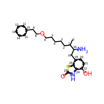 CC(CCCCCOCCc1ccccc1)C(N)Cc1ccc(O)c2[nH]c(=O)sc12